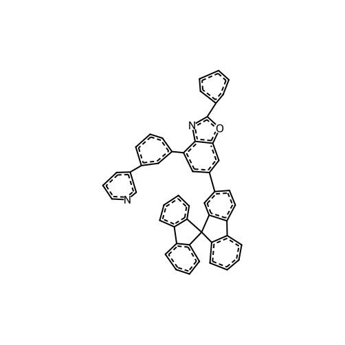 c1ccc(-c2nc3c(-c4cccc(-c5cccnc5)c4)cc(-c4ccc5c(c4)C4(c6ccccc6-c6ccccc64)c4ccccc4-5)cc3o2)cc1